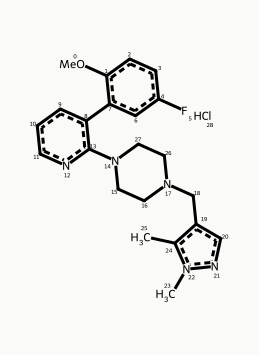 COc1ccc(F)cc1-c1cccnc1N1CCN(Cc2cnn(C)c2C)CC1.Cl